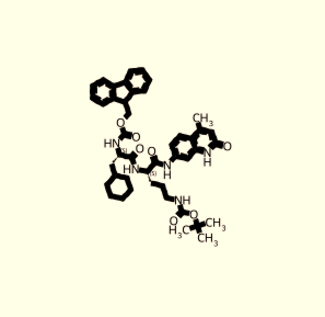 Cc1cc(=O)[nH]c2cc(NC(=O)[C@H](CCCNC(=O)OC(C)(C)C)NC(=O)[C@H](CC3CCCCC3)NC(=O)OCC3c4ccccc4-c4ccccc43)ccc12